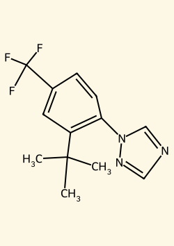 CC(C)(C)c1cc(C(F)(F)F)ccc1-n1cncn1